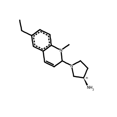 CCc1ccc2c(c1)C=CC(N1CC[C@@H](N)C1)N2C